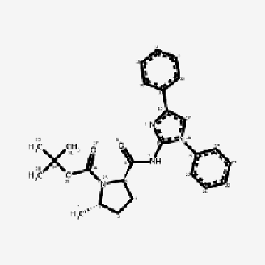 C[C@H]1CC[C@H](C(=O)Nc2nc(-c3ccccc3)cn2-c2ccccc2)N1C(=O)OC(C)(C)C